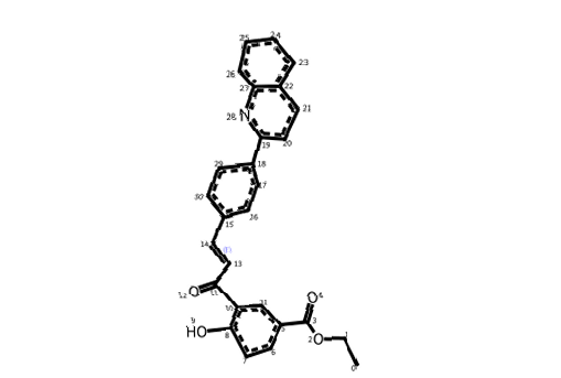 CCOC(=O)c1ccc(O)c(C(=O)/C=C/c2ccc(-c3ccc4ccccc4n3)cc2)c1